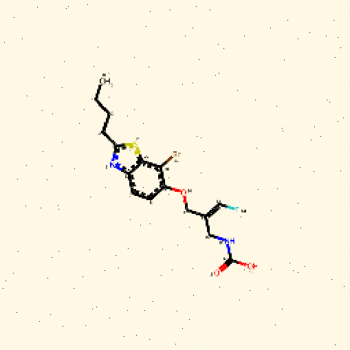 CCCCc1nc2ccc(OCC(=CF)CNC(=O)O)c(Br)c2s1